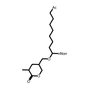 CCCCCCCCCC(CCCCCCCC(C)=O)OCC1COC(=O)C(C)C1